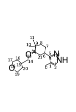 Cc1c[nH]nc1C1CCC(C)(C)[C@H](OCC2CCOCC2)C1